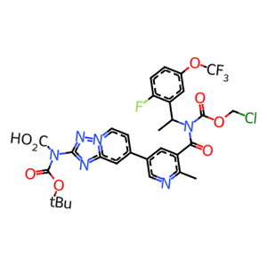 Cc1ncc(-c2ccn3nc(N(C(=O)O)C(=O)OC(C)(C)C)nc3c2)cc1C(=O)N(C(=O)OCCl)C(C)c1cc(OC(F)(F)F)ccc1F